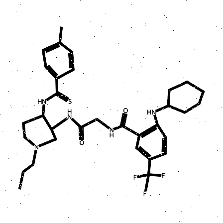 CCCN1CCC(NC(=S)c2ccc(C)cc2)C(NC(=O)CNC(=O)c2cc(C(F)(F)F)ccc2NC2CCCCC2)C1